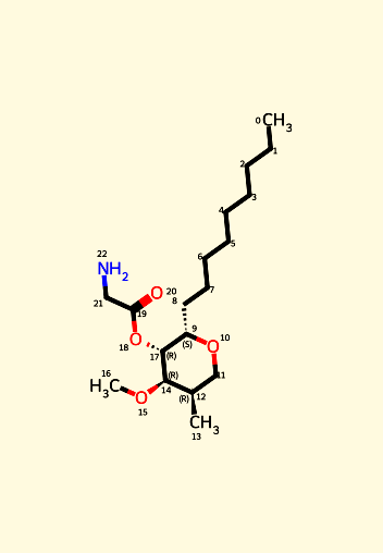 CCCCCCCCC[C@@H]1OC[C@@H](C)[C@@H](OC)[C@@H]1OC(=O)CN